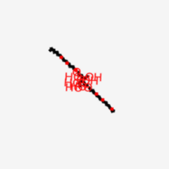 CC(C)CCCCCCCCCCCCCCCOCC(O)CC(OC(CC(O)COCCCCCCCCCCCCCCCC(C)C)C(O)CO)C(O)CO